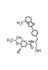 Cc1cccc2nc(-c3ccc(C[C@@H](CCO)NC(=O)c4ccc(OC(C)C)c(C#N)c4)cc3)cn12